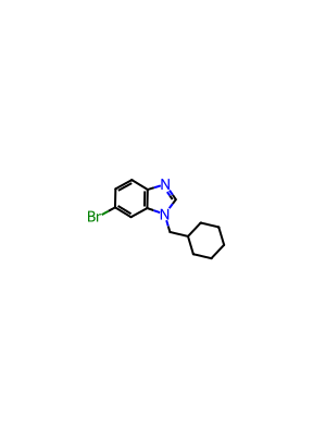 Brc1ccc2ncn(CC3CCCCC3)c2c1